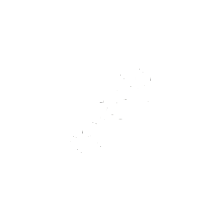 CCCCC(CC)Cc1ccc(-c2c3cc(-c4sc(/C=C5\C(=O)c6ccccc6C5=C(C#N)C#N)cc4CC(CC)CCCC)sc3c(-c3ccc(CC(CC)CCCC)s3)c3cc(-c4sc(/C=C5\C(=O)c6ccccc6C5=C(C#N)C#N)cc4CC(CC)CCCC)sc23)s1